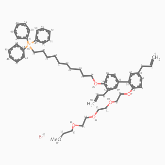 C=CCc1ccc(OCCOCCOCCOCCOC)c(-c2ccc(OCCCCCCCCCC[P+](c3ccccc3)(c3ccccc3)c3ccccc3)c(CC=C)c2)c1.[Br-]